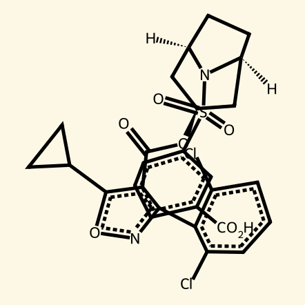 O=C(O)c1cccc(S(=O)(=O)N2[C@@H]3CC[C@H]2C[C@@H](OC(=O)c2c(-c4c(Cl)cccc4Cl)noc2C2CC2)C3)c1